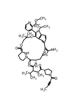 CC#CC(=O)N1CC[C@H](C(=O)N(C)C(C(=O)N[C@H]2Cc3nc(c(N)s3)-c3ccc4c(c3)c(c(-c3cccnc3[C@H](C)OC)n4CC)CC(C)(C)COC(=O)[C@@H]3CCCN(N3)C2=O)C(C)C)C1